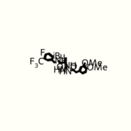 CCC(C)CC(NC(=N)NC(=O)Cc1ccc(OC)c(OC)c1)C(=O)NCc1ccc(F)c(C(F)(F)F)c1